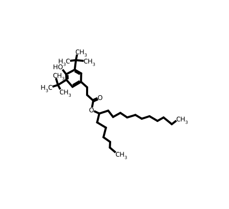 CCCCCCCCCCCC(CCCCCC)OC(=O)CCc1cc(C(C)(C)C)c(O)c(C(C)(C)C)c1